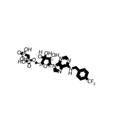 O=P(O)(O)CP(=O)(O)OC[C@H]1O[C@@H](n2cnc3c(NCc4ccc(C(F)(F)F)cc4)ncnc32)[C@H](O)C1(O)O